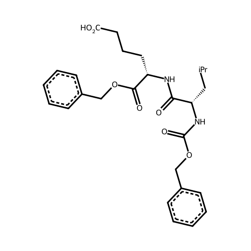 CC(C)C[C@H](NC(=O)OCc1ccccc1)C(=O)N[C@@H](CCCC(=O)O)C(=O)OCc1ccccc1